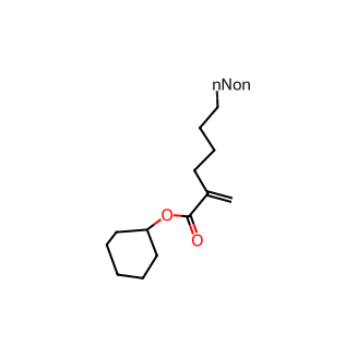 C=C(CCCCCCCCCCCCC)C(=O)OC1CCCCC1